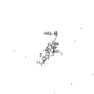 Cc1cc(F)c(COc2nsc(NC(=O)NCCCCN3CCCC3CO)c2C(N)=O)c(F)c1